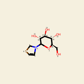 OC[C@H]1OC(N2C=CSC2)[C@H](O)[C@@H](O)[C@@H]1O